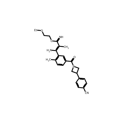 CCOCCOC(=N)/C(C)=C(\N)c1cc(C(=O)N2CC(c3ccc(C#N)cc3)C2)ccc1C